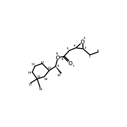 CCC1OC1CC(=O)O[C@@H](C)C1CCCC(C)(C)C1